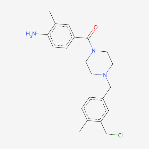 Cc1cc(C(=O)N2CCN(Cc3ccc(C)c(CCl)c3)CC2)ccc1N